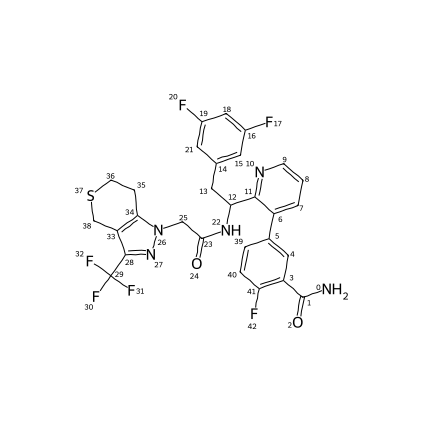 NC(=O)c1cc(-c2cccnc2C(Cc2cc(F)cc(F)c2)NC(=O)Cn2nc(C(F)(F)F)c3c2CCSC3)ccc1F